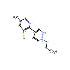 Cc1cnc(-c2cc[n+](CCC(=O)O)nc2)c(F)c1